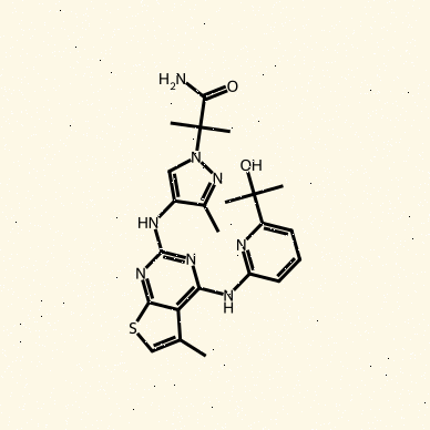 Cc1nn(C(C)(C)C(N)=O)cc1Nc1nc(Nc2cccc(C(C)(C)O)n2)c2c(C)csc2n1